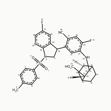 Cc1ccc(S(=O)(=O)N2CC(c3cc(N[C@H]4C5CCC(CC5)[C@@H]4C(=O)O)c(F)cc3C#N)c3cc(F)cnc32)cc1